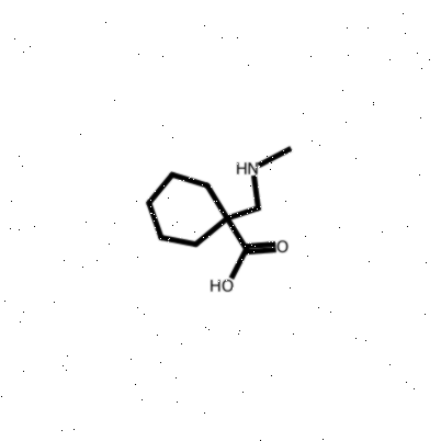 CNCC1(C(=O)O)CCCCC1